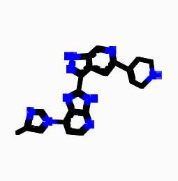 Cc1cn(-c2ccnc3[nH]c(-c4n[nH]c5cnc(C6=CCNCC6)cc45)nc23)cn1